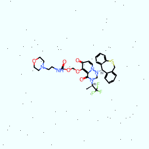 C[C@@H](N1CN([C@H]2c3ccccc3CSc3ccccc32)n2ccc(=O)c(OCOC(=O)NCCN3CCOCC3)c2C1=O)C(F)(F)F